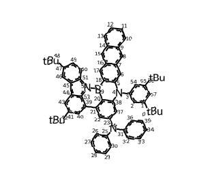 CC(C)(C)c1cc(N2c3cc4cc5ccccc5cc4cc3B3c4c(cc(N(c5ccccc5)c5ccccc5)cc42)-c2cc(C(C)(C)C)cc4c5cc(C(C)(C)C)ccc5n3c24)cc(C(C)(C)C)c1